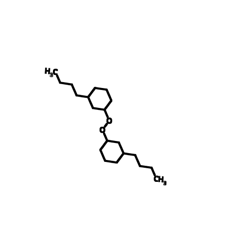 CCCCC1CCCC(OOC2CCCC(CCCC)C2)C1